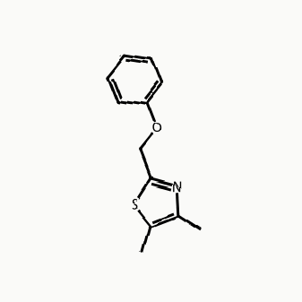 Cc1nc(COc2cc[c]cc2)sc1C